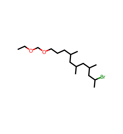 CCOCOCCCC(C)CC(C)CC(C)CC(C)Br